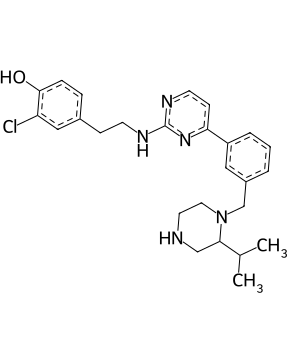 CC(C)C1CNCCN1Cc1cccc(-c2ccnc(NCCc3ccc(O)c(Cl)c3)n2)c1